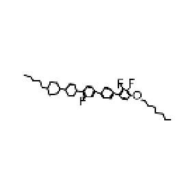 CCCCCCCCOc1ccc(-c2ccc(-c3ccc(C4CCC(C5CCC(CCCCC)CC5)CC4)c(F)c3)cc2)c(F)c1F